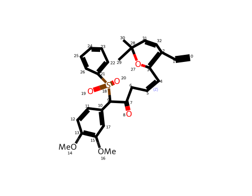 C#CC1=C(/C=C\CC(=O)C(c2ccc(OC)c(OC)c2)S(=O)(=O)c2ccccc2)OC(C)(C)C=C1